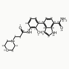 Cc1c(NC(=O)CCN2CCOCC2)cccc1-c1ccc(C(N)=O)c2[nH]ccc12